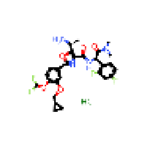 C[C@H](N)c1oc(-c2ccc(OC(F)F)c(OCC3CC3)c2)nc1C(=O)NC(C(=O)N(C)C)c1ccc(F)cc1F.Cl